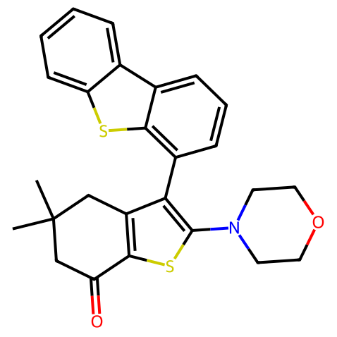 CC1(C)CC(=O)c2sc(N3CCOCC3)c(-c3cccc4c3sc3ccccc34)c2C1